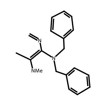 C=N/C(=C(\C)NC)N(Cc1ccccc1)Cc1ccccc1